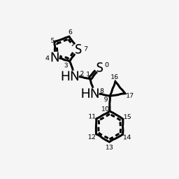 S=C(Nc1nccs1)NC1(c2ccccc2)CC1